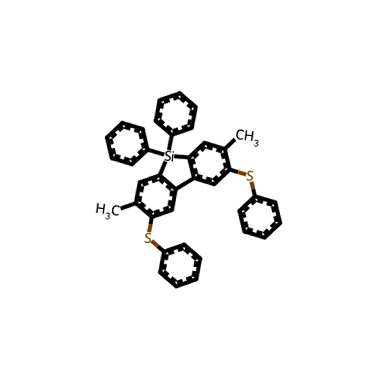 Cc1cc2c(cc1Sc1ccccc1)-c1cc(Sc3ccccc3)c(C)cc1[Si]2(c1ccccc1)c1ccccc1